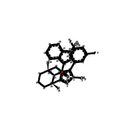 Cn1nc2c(c1-c1cc(F)cc(F)c1)C[C@@H]1CCC[C@H]2N1C(=O)c1nn(C)c2ncccc12